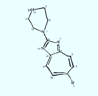 Brc1ccc2nc(N3CCNCC3)nc-2cc1